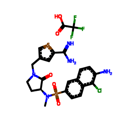 CN([C@H]1CCN(Cc2csc(C(=N)N)c2)C1=O)S(=O)(=O)c1ccc2c(Cl)c(N)ccc2c1.O=C(O)C(F)(F)F